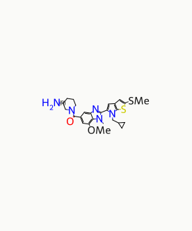 COc1cc(C(=O)N2CCC[C@@H](N)C2)cc2nc(-c3cc4cc(SC)sc4n3CC3CC3)n(C)c12